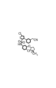 CN1CCC(Oc2cc(NS(=O)(=O)c3sc(Cl)cc3-c3cccc(CC#N)c3)ccc2C(F)(F)F)C1